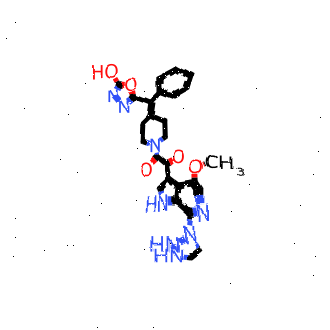 COc1cnc(N2C=CNN2)c2[nH]cc(C(=O)C(=O)N3CCC(=C(c4ccccc4)c4nnc(O)o4)CC3)c12